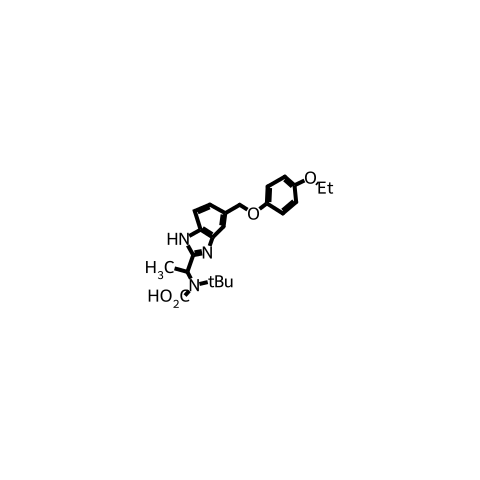 CCOc1ccc(OCc2ccc3[nH]c(C(C)N(C(=O)O)C(C)(C)C)nc3c2)cc1